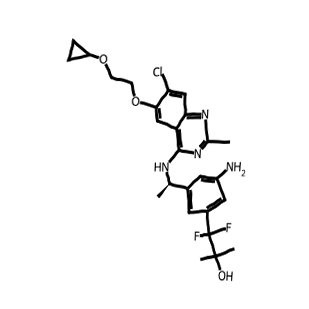 Cc1nc(N[C@H](C)c2cc(N)cc(C(F)(F)C(C)(C)O)c2)c2cc(OCCOC3CC3)c(Cl)cc2n1